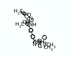 CCN(CC)[C@@H](C(=O)N1CCC[C@H]1c1ncc(-c2ccc(-c3ccc(-c4cnc([C@]56CCCN5C(=O)[C@H](Cc5cn(C)cn5)N6C(=O)OC)[nH]4)cc3)cc2)[nH]1)C1C=CC=CC1